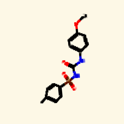 CCOc1ccc(NC(=O)NS(=O)(=O)c2ccc(C)cc2)cc1